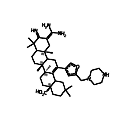 CC1(C)CC[C@]2(C(=O)O)CC[C@]3(C)C(=C(c4coc(CN5CCNCC5)c4)CC4[C@@]5(C)CC(=C(N)N)C(=N)C(C)(C)C5CC[C@]43C)C2C1